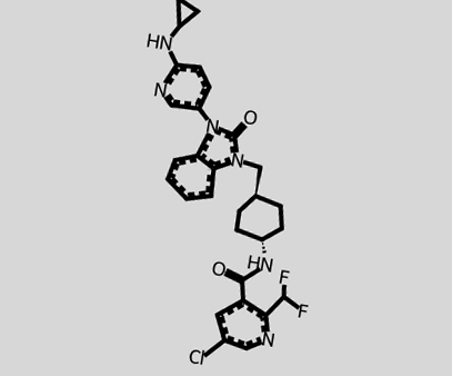 O=C(N[C@H]1CC[C@H](Cn2c(=O)n(-c3ccc(NC4CC4)nc3)c3ccccc32)CC1)c1cc(Cl)cnc1C(F)F